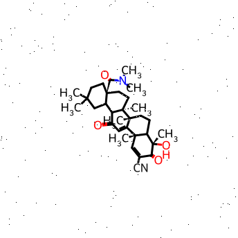 CN(C)C(=O)[C@]12CCC(C)(C)CC1C1C(=O)C=C3[C@@]4(C)C=C(C#N)C(=O)[C@@](C)(O)C4CC[C@@]3(C)[C@]1(C)CC2